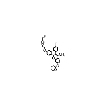 CC1=C(c2ccc(F)cc2)C(c2ccc(OCCN3CC(CF)C3)cc2)Oc2cc(OC3CCCCO3)ccc21